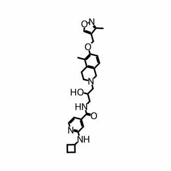 Cc1nocc1COc1ccc2c(c1C)CCN(CC(O)CNC(=O)c1ccnc(NC3CCC3)c1)C2